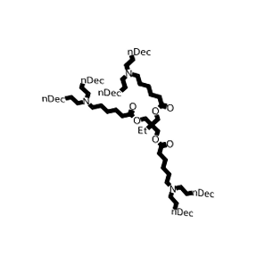 CCCCCCCCCCCCN(CCCCCCCCCCCC)CCCCCC(=O)OCC(CC)(COC(=O)CCCCCN(CCCCCCCCCCCC)CCCCCCCCCCCC)COC(=O)CCCCCN(CCCCCCCCCCCC)CCCCCCCCCCCC